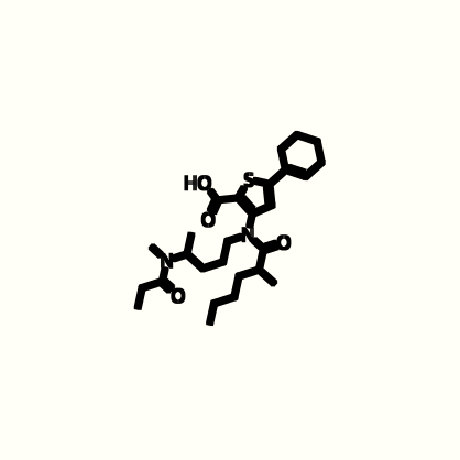 CCCCC(C)C(=O)N(CCCC(C)N(C)C(=O)CC)c1cc(C2=CCCCC2)sc1C(=O)O